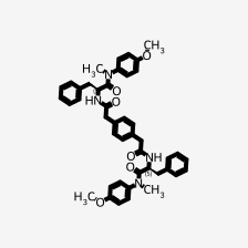 COc1ccc(N(C)C(=O)[C@H](Cc2ccccc2)NC(=O)Cc2ccc(CC(=O)N[C@@H](Cc3ccccc3)C(=O)N(C)c3ccc(OC)cc3)cc2)cc1